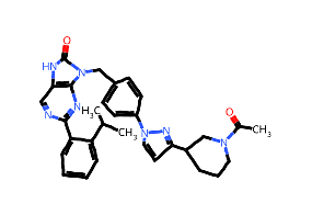 CC(=O)N1CCCC(c2ccn(-c3ccc(Cn4c(=O)[nH]c5cnc(-c6ccccc6C(C)C)nc54)cc3)n2)C1